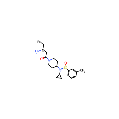 CC(C)C[C@H](N)CC(=O)N1CCC(N(C2CC2)[S+]([O-])c2cccc(C(F)(F)F)c2)CC1